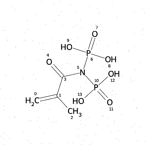 C=C(C)C(=O)N(P(=O)(O)O)P(=O)(O)O